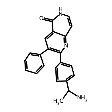 CC(N)c1ccc(-c2nc3cc[nH]c(=O)c3cc2-c2ccccc2)cc1